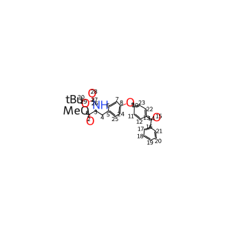 COC(=O)C(Cc1ccc(Oc2ccc(C(=O)c3ccccc3)cc2)cc1)NC(=O)OC(C)(C)C